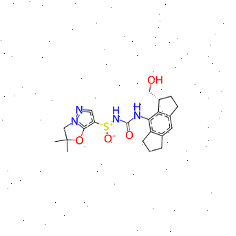 CC1(C)Cn2ncc([S@+]([O-])NC(=O)Nc3c4c(cc5c3[C@H](CO)CC5)CCC4)c2O1